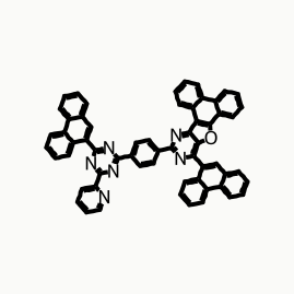 c1ccc(-c2nc(-c3ccc(-c4nc(-c5cc6ccccc6c6ccccc56)c5oc6c7ccccc7c7ccccc7c6c5n4)cc3)nc(-c3cc4ccccc4c4ccccc34)n2)nc1